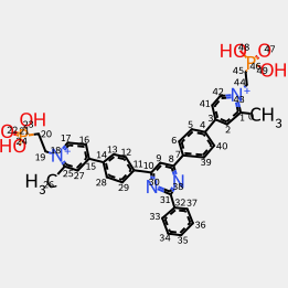 Cc1cc(-c2ccc(-c3cc(-c4ccc(-c5cc[n+](CCP(=O)(O)O)c(C)c5)cc4)nc(-c4ccccc4)n3)cc2)cc[n+]1CCP(=O)(O)O